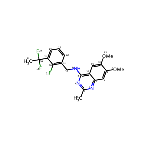 COc1cc2nc(C)nc(NCc3cccc(C(C)(F)F)c3F)c2cc1OC